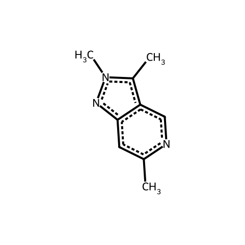 Cc1cc2nn(C)c(C)c2cn1